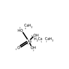 O=[As](O)(O)O.[CaH2].[CaH2].[CaH2]